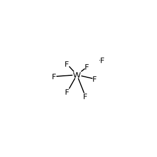 [F].[F][W]([F])([F])([F])([F])[F]